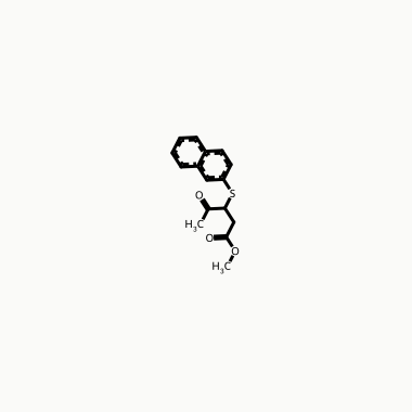 COC(=O)CC(Sc1ccc2ccccc2c1)C(C)=O